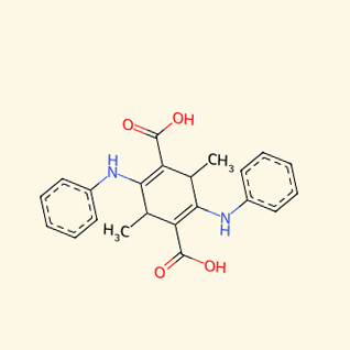 CC1C(Nc2ccccc2)=C(C(=O)O)C(C)C(Nc2ccccc2)=C1C(=O)O